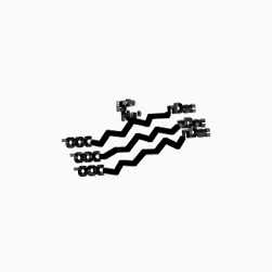 CCCCCCCCCCCCCCCCCC(=O)[O-].CCCCCCCCCCCCCCCCCC(=O)[O-].CCCCCCCCCCCCCCCCCC(=O)[O-].[Na+].[S+2]